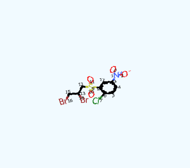 O=[N+]([O-])c1ccc(Cl)c(S(=O)(=O)CC(Br)CBr)c1